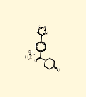 C=C.O=C1CCN(C(=O)c2ccc(-c3csnn3)cc2)CC1